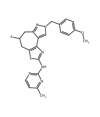 COc1ccc(Cn2cc3c(n2)CC(F)Cc2sc(Nc4nccc(C)n4)nc2-3)cc1